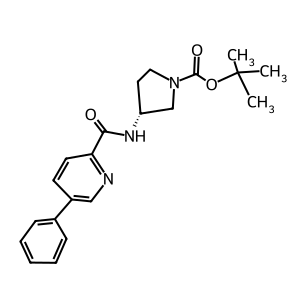 CC(C)(C)OC(=O)N1CC[C@@H](NC(=O)c2ccc(-c3ccccc3)cn2)C1